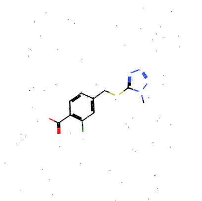 Cn1nnnc1SCc1ccc(C(=O)O)c(Cl)c1